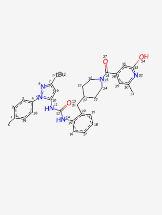 Cc1ccc(-n2nc(C(C)(C)C)cc2NC(=O)Nc2ccccc2CC2CCN(C(=O)c3cc(C)nc(O)c3)CC2)cc1